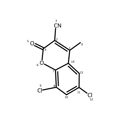 Cc1c(C#N)c(=O)oc2c(Cl)cc(Cl)cc12